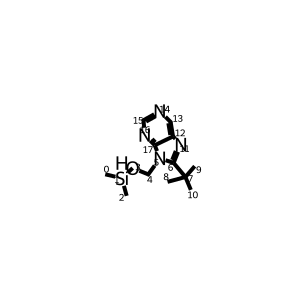 C[SiH](C)OCn1c(C(C)(C)C)nc2cncnc21